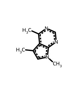 Cc1cn(C)c2ncnc(C)c12